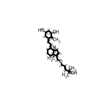 C=C1C(=CC=C2CCC[C@]3(C)C(COC/C=C/C(C)(C)O)=CC[C@@H]23)C[C@@H](O)C[C@@H]1O